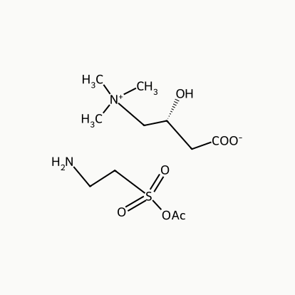 CC(=O)OS(=O)(=O)CCN.C[N+](C)(C)C[C@H](O)CC(=O)[O-]